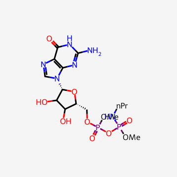 CCCNP(=O)(OC)OP(=O)(OC)OC[C@H]1O[C@@H](n2cnc3c(=O)[nH]c(N)nc32)C(O)C1O